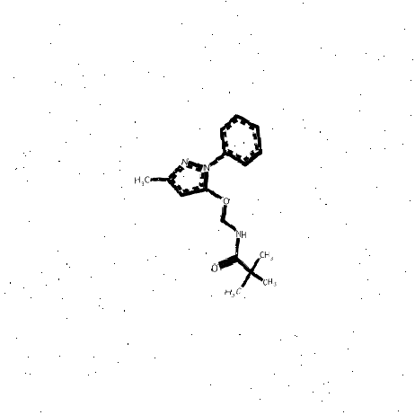 Cc1cc(OCNC(=O)C(C)(C)C)n(-c2ccccc2)n1